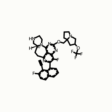 C#Cc1c(F)ccc2cccc(-c3nc4c5c(nc(OCC67CCCN6CC(OC(F)(F)F)C7)nc5c3F)N3CCNC[C@H]3CC4)c12